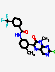 Cc1ccc(NC(=O)c2cccc(C(F)(F)F)c2)cc1-c1nc2cnc(Cl)nc2n(C)c1=O